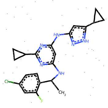 CC(Nc1cc(Nc2cc(C3CC3)[nH]n2)nc(C2CC2)n1)c1ccc(Cl)cc1F